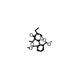 CCc1coc(-c2c(C(=O)OC)cccc2C(=O)OC)c(CC)c1=O